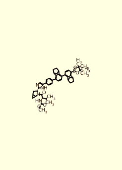 COC(=O)N[C@H](C(=O)N1C2CC2C[C@H]1c1ncc(-c2ccc(-c3ccc(-c4ccc(B5OC(C)(C)C(C)(C)O5)c5c4C4CCC5C4)c4c3C3CCC4C3)cc2)[nH]1)C(C)C